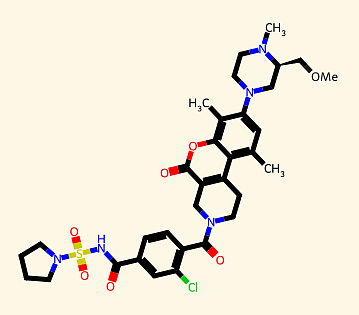 COC[C@H]1CN(c2cc(C)c3c4c(c(=O)oc3c2C)CN(C(=O)c2ccc(C(=O)NS(=O)(=O)N3CCCC3)cc2Cl)CC4)CCN1C